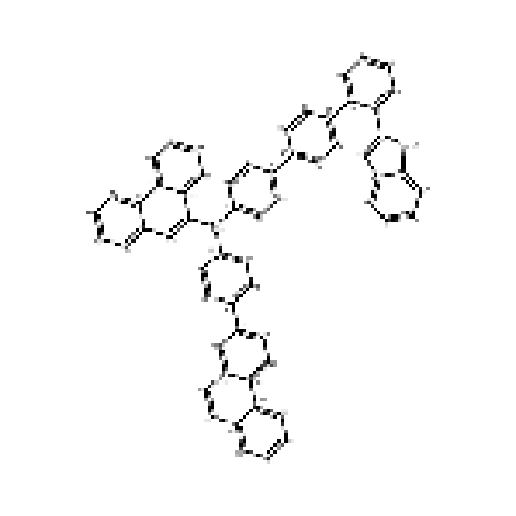 c1ccc(-c2cc3ccccc3o2)c(-c2ccc(-c3ccc(N(c4ccc(-c5ccc6c(ccc7ccccc76)c5)cc4)c4cc5ccccc5c5ccccc45)cc3)cc2)c1